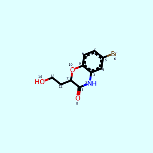 O=C1Nc2cc(Br)ccc2OC1CCO